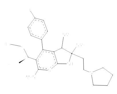 CNc1nc2c(c(-c3ccc(Cl)cc3)c1[C@H](OC(C)(C)C)C(=O)O)C(NC)C(CCN1CCCC1)(NC)N2